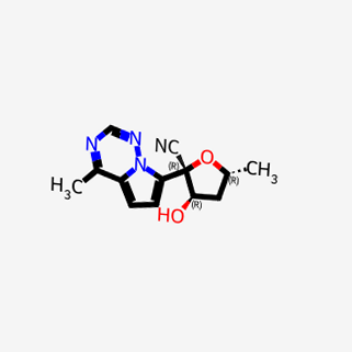 Cc1ncnn2c([C@]3(C#N)O[C@H](C)C[C@H]3O)ccc12